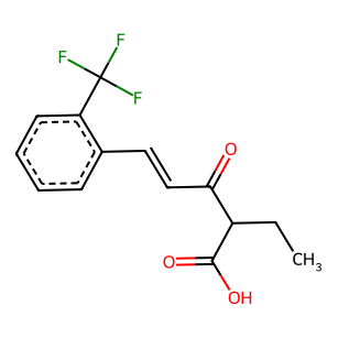 CCC(C(=O)O)C(=O)C=Cc1ccccc1C(F)(F)F